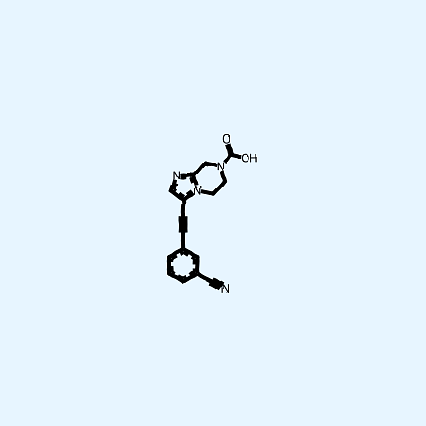 N#Cc1cccc(C#Cc2cnc3n2CCN(C(=O)O)C3)c1